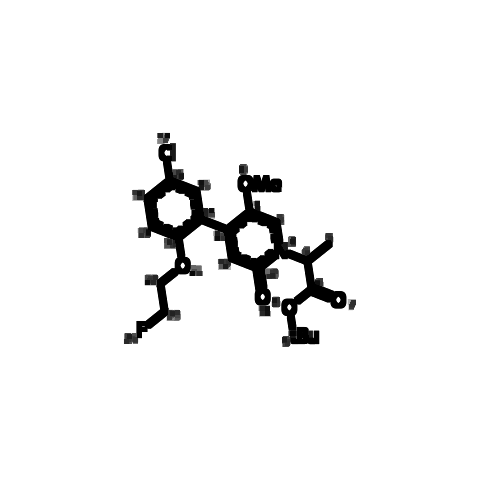 COc1cn(C(C)C(=O)OC(C)(C)C)c(=O)cc1-c1cc(Cl)ccc1OCCF